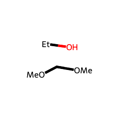 CCO.COCOC